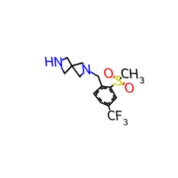 CS(=O)(=O)c1cc(C(F)(F)F)ccc1CN1CC2(CNC2)C1